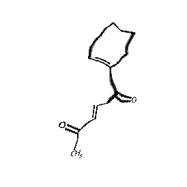 CC(=O)C=CC(=O)C1=CCCCC1